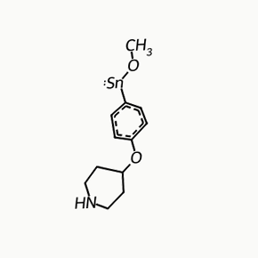 C[O][Sn][c]1ccc(OC2CCNCC2)cc1